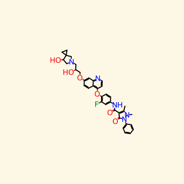 Cc1c(C(=O)Nc2ccc(Oc3ccnc4cc(OCC(O)CN5CC(O)C6(CC6)C5)ccc34)c(F)c2)c(=O)n(-c2ccccc2)n1C